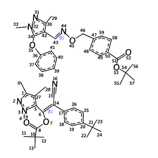 Cc1nn(C)c(/C(OC(=O)C(C)(C)C)=C(\C#N)c2ccc(C(C)(C)C)cc2)c1C.Cc1nn(C)c(Oc2ccccc2)c1/C=N/OCc1ccc(C(=O)OC(C)(C)C)cc1